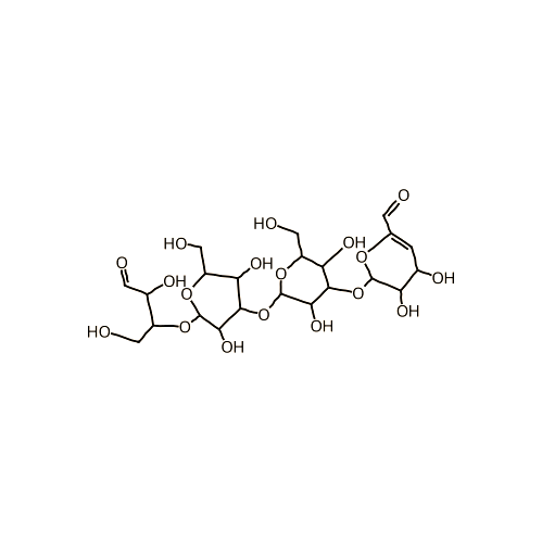 O=CC1=CC(O)C(O)C(OC2C(O)C(CO)OC(OC3C(O)C(CO)OC(OC(CO)C(O)C=O)C3O)C2O)O1